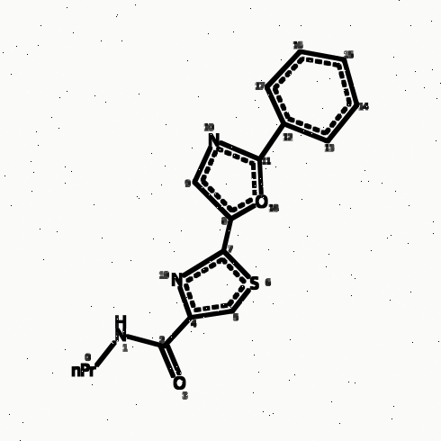 CCCNC(=O)c1csc(-c2cnc(-c3ccccc3)o2)n1